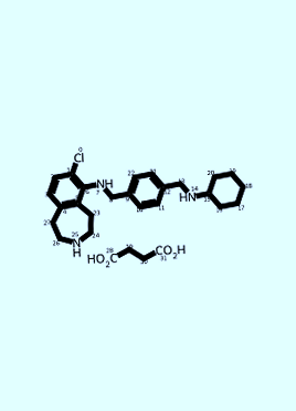 Clc1ccc2c(c1NCc1ccc(CNC3CCCCC3)cc1)CCNCC2.O=C(O)CCC(=O)O